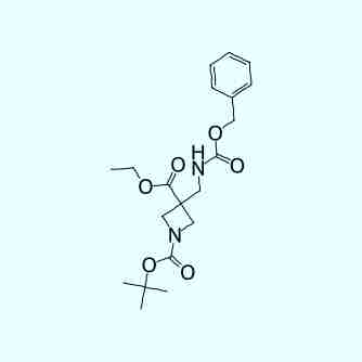 CCOC(=O)C1(CNC(=O)OCc2ccccc2)CN(C(=O)OC(C)(C)C)C1